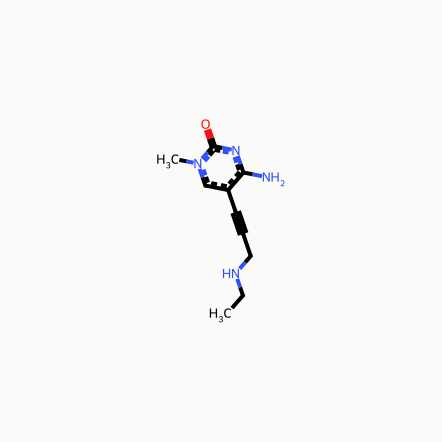 CCNCC#Cc1cn(C)c(=O)nc1N